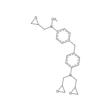 CN(CC1CO1)c1ccc(Cc2ccc(N(CC3CO3)CC3CO3)cc2)cc1